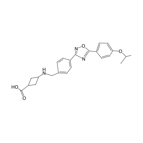 CC(C)Oc1ccc(-c2nc(-c3ccc(CNC4CC(C(=O)O)C4)cc3)no2)cc1